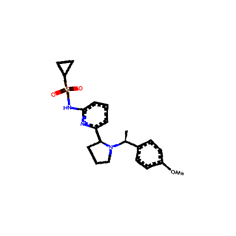 COc1ccc([C@H](C)N2CCCC2c2cccc(NS(=O)(=O)C3CC3)n2)cc1